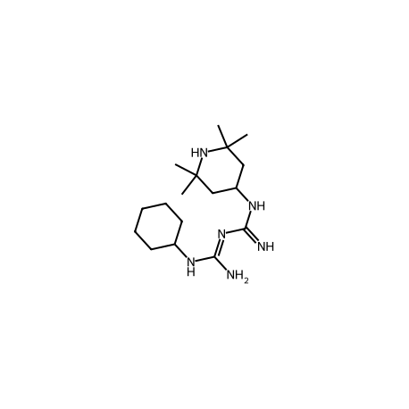 CC1(C)CC(NC(=N)/N=C(\N)NC2CCCCC2)CC(C)(C)N1